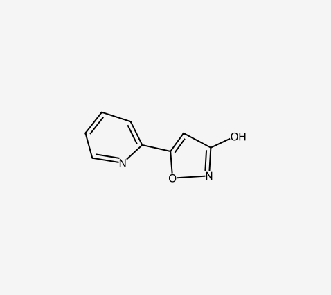 Oc1cc(-c2ccccn2)on1